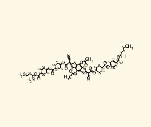 CCCCNOC(=O)c1ccc(OC(=O)C2CCC(OC(=O)C(C#N)=C3Sc4c(OC(C)=O)c5c(c(OC(C)=O)c4S3)SC(=C(C#N)C(=O)OC3CCC(C(=O)Oc4ccc(C(=O)OC(N)CCC)cc4)CC3)S5)CC2)cc1